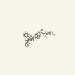 NC(=O)CCC(=O)N1CC2CN(CCC(NC(=O)C3CCOC3)c3ccccc3)C[C@H]2C1